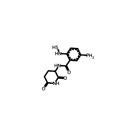 O=C1CCC(NC(=O)c2cc(P)ccc2NS)C(=O)N1